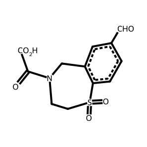 O=Cc1ccc2c(c1)CN(C(=O)C(=O)O)CCS2(=O)=O